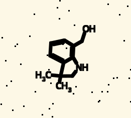 CC1(C)CNc2c(CO)cccc21